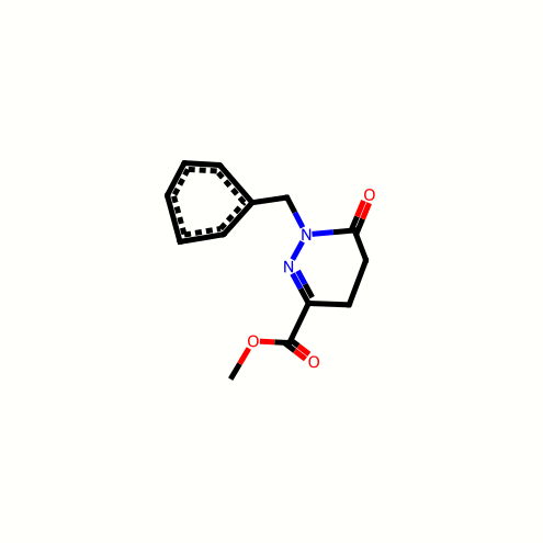 COC(=O)C1=NN(Cc2ccccc2)C(=O)CC1